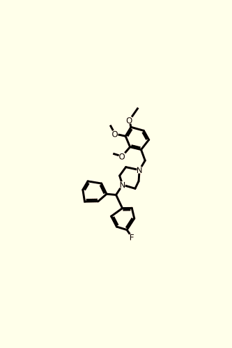 COc1ccc(CN2CCN(C(c3ccccc3)c3ccc(F)cc3)CC2)c(OC)c1OC